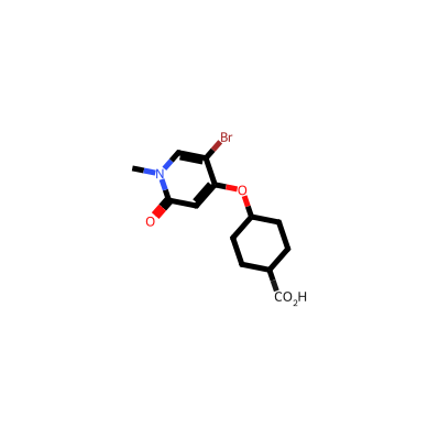 Cn1cc(Br)c(OC2CCC(C(=O)O)CC2)cc1=O